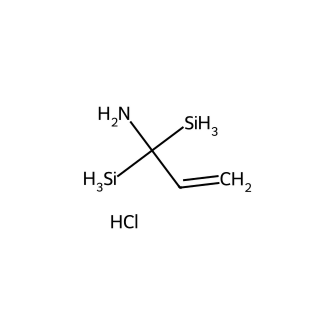 C=CC(N)([SiH3])[SiH3].Cl